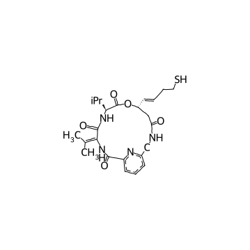 CC(C)=C1NC(=O)c2cccc(n2)CNC(=O)C[C@@H](/C=C/CCS)OC(=O)[C@H](C(C)C)NC1=O